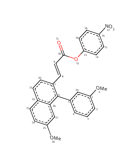 COc1cccc(-c2c(C=CC(=O)Oc3ccc([N+](=O)[O-])cc3)ccc3ccc(OC)cc23)c1